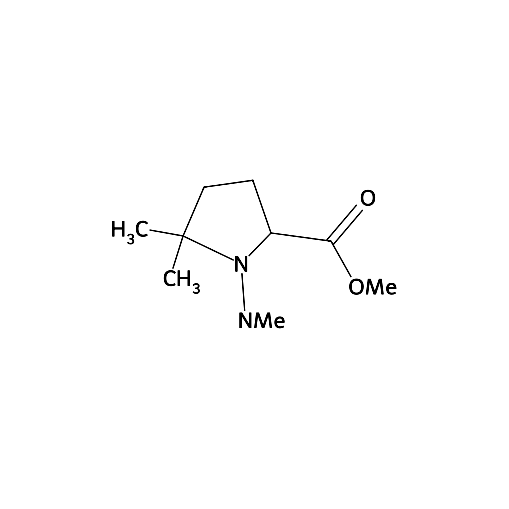 CNN1C(C(=O)OC)CCC1(C)C